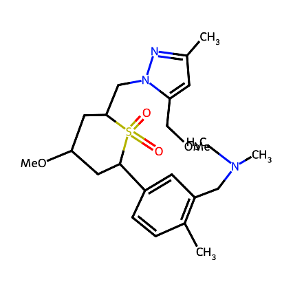 COCc1cc(C)nn1CC1CC(OC)CC(c2ccc(C)c(CN(C)C)c2)S1(=O)=O